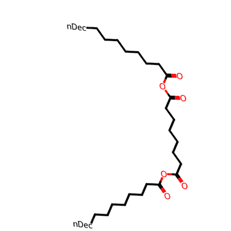 CCCCCCCCCCCCCCCCCC(=O)OC(=O)CCCCCCC(=O)OC(=O)CCCCCCCCCCCCCCCCC